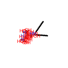 CCCCCCCCCCCCC/C=C/[C@@H](O)[C@H](CO[C@@H]1OC(CO)[C@@H](O[C@@H]2OC(CO)[C@H](O[C@@H]3OC(CO)[C@H](O)[C@H](O)C3NC(C)=O)[C@H](O[C@H]3OC(CO)[C@H](O)[C@H](O[C@@H]4OC(CO)[C@@H](O)[C@H](O)C4NC(C)=O)C3O)C2O)[C@H](O)C1O)NC(=O)CCCCCCCCCCCCCCCCC